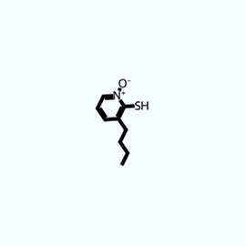 CCCCc1ccc[n+]([O-])c1S